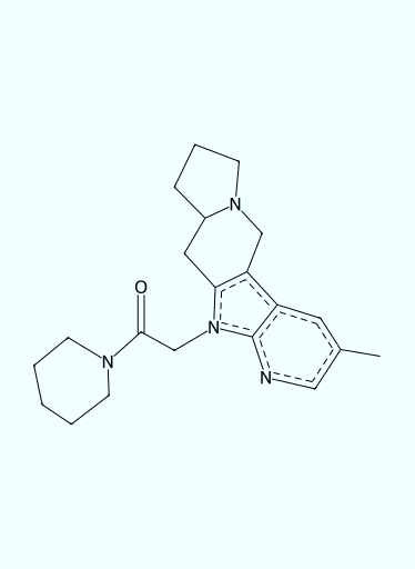 Cc1cnc2c(c1)c1c(n2CC(=O)N2CCCCC2)CC2CCCN2C1